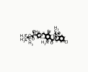 CCS(=O)(=O)c1ccc(Cl)cc1CNC(=O)c1cc(Br)c(CN2CC[C@@H](N(C)C(=O)OC(C)(C)C)C2)cc1N